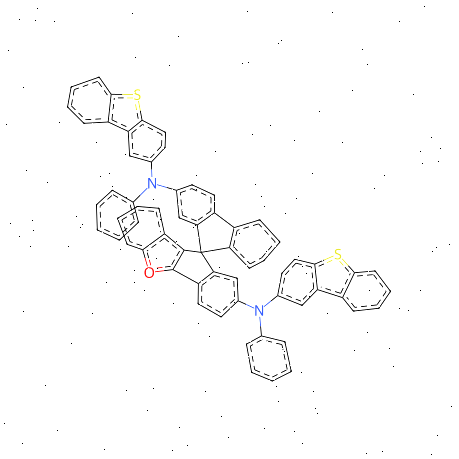 c1ccc(N(c2ccc3c(c2)C2(c4ccccc4-3)c3cc(N(c4ccccc4)c4ccc5sc6ccccc6c5c4)ccc3-c3oc4ccccc4c32)c2ccc3sc4ccccc4c3c2)cc1